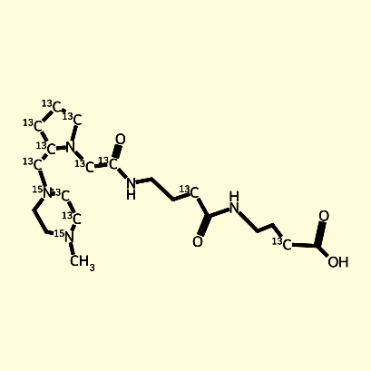 C[15N]1CC[15N]([13CH2][13CH]2[13CH2][13CH2][13CH2]N2[13CH2][13C](=O)NCC[13CH2]C(=O)NCC[13CH2]C(=O)O)[13CH2][13CH2]1